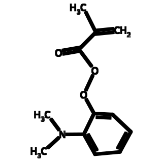 C=C(C)C(=O)OOc1ccccc1N(C)C